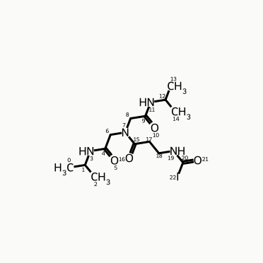 CC(C)NC(=O)CN(CC(=O)NC(C)C)C(=O)CCNC(=O)I